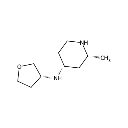 C[C@@H]1C[C@H](N[C@@H]2CCOC2)CCN1